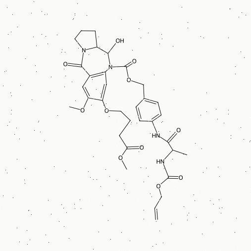 C=CCOC(=O)NC(C)C(=O)Nc1ccc(COC(=O)N2c3cc(OCCCC(=O)OC)c(OC)cc3C(=O)N3CCCC3C2O)cc1